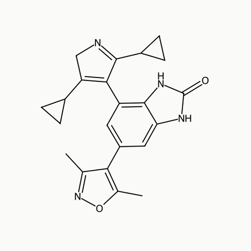 Cc1noc(C)c1-c1cc(C2=C(C3CC3)CN=C2C2CC2)c2[nH]c(=O)[nH]c2c1